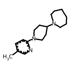 Cc1ccc(N2CCC(N3CCCCCC3)CC2)nc1